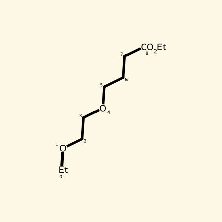 CCOCCOCCCC(=O)OCC